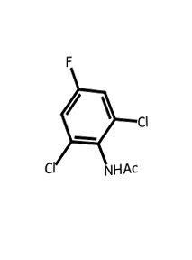 CC(=O)Nc1c(Cl)cc(F)cc1Cl